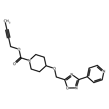 CC#CCOC(=O)N1CCC(OCc2nc(-c3ccncc3)no2)CC1